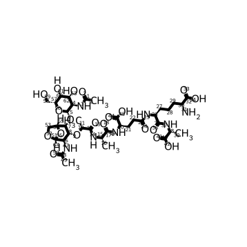 CC(=O)N[C@H]1[C@H](O[C@H]2[C@H](O[C@H](C)C(=O)N[C@@H](C)C(=O)N[C@H](CCC(=O)N[C@@H](CCC[C@@H](N)C(=O)O)C(=O)N[C@H](C)C(=O)O)C(=O)O)[C@@H](NC(C)=O)[C@@H]3OC[C@H]2O3)O[C@H](CO)[C@@H](O)[C@@H]1O